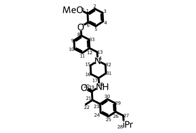 COc1ccccc1Oc1cccc(CN2CCC(NC(=O)C(C)c3ccc(CC(C)C)cc3)CC2)c1